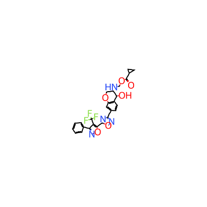 O=C(OCN[C@H]1COc2cc(-c3noc(-c4onc(-c5ccccc5)c4C(F)(F)F)n3)ccc2[C@@H]1O)C1CC1